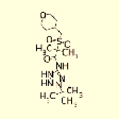 CC(C)(C)N1N=C(NC(=O)C(C)(C)S(=O)(=O)CC2CCOCC2)NN1